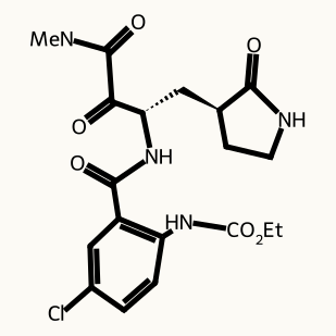 CCOC(=O)Nc1ccc(Cl)cc1C(=O)N[C@@H](C[C@@H]1CCNC1=O)C(=O)C(=O)NC